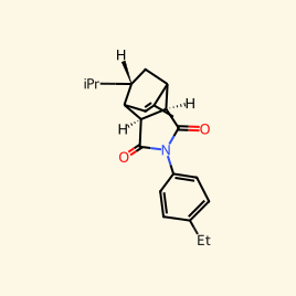 CCc1ccc(N2C(=O)[C@@H]3C4C[C@@H](C(C)C)C(C=C4C)[C@@H]3C2=O)cc1